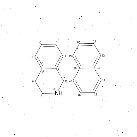 c1ccc2c(c1)CCNC2.c1ccc2ccccc2c1